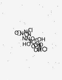 C#C[C@@H](O)[C@@H](O[C@@H](CO)COC(C(=O)O)S(=O)(=O)c1ccccc1)n1cnc2c(N3CCOCC3)nc(Cl)nc21